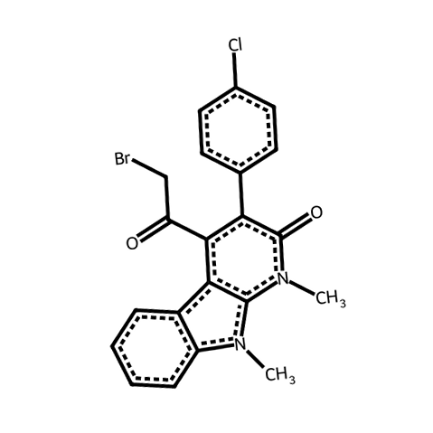 Cn1c(=O)c(-c2ccc(Cl)cc2)c(C(=O)CBr)c2c3ccccc3n(C)c21